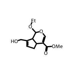 CCOC1OC=C(C(=O)OC)C2CC=C(CO)C12